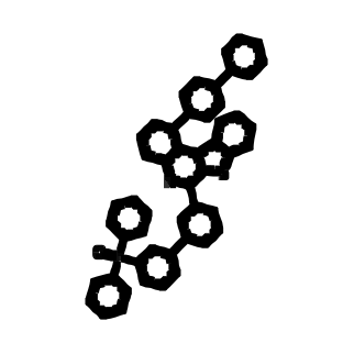 O=P(c1ccccc1)(c1ccccc1)c1cccc(-c2cccc(-c3nc4cccc(-c5ccc(-c6ccccc6)cc5)c4c4c3sc3ccccc34)c2)c1